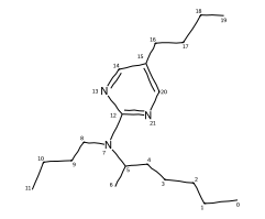 CCCCCC(C)N(CCCC)c1ncc(CCCC)cn1